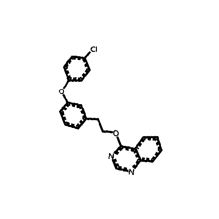 Clc1ccc(Oc2cccc(CCOc3ncnc4ccccc34)c2)cc1